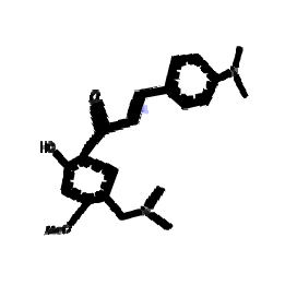 COc1cc(O)c(C(=O)/C=C/c2ccc(N(C)C)cc2)cc1CN(C)C